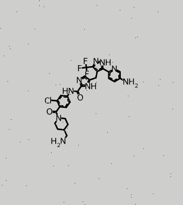 NCC1CCN(C(=O)c2ccc(NC(=O)c3ncc(Cc4c(C(F)(F)F)n[nH]c4-c4ccc(N)cn4)[nH]3)cc2Cl)CC1